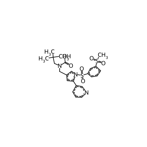 CC(C)(C)CN(Cc1cc(-c2cccnc2)n(S(=O)(=O)c2cccc(S(C)(=O)=O)c2)c1)C(=O)O